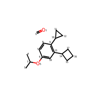 C=O.CC(C)Oc1ccc(C2CC2)c(C2CCC2)c1